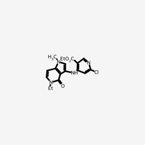 CCOC(=O)c1cnc(Cl)cc1Nc1cn(C)c2ccn(CC)c(=O)c12